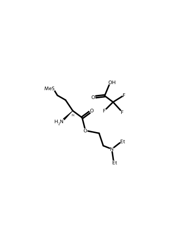 CCN(CC)CCOC(=O)[C@@H](N)CCSC.O=C(O)C(F)(F)F